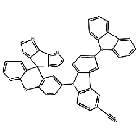 N#Cc1ccc2c(c1)c1cc(-n3c4ccccc4c4ccccc43)ccc1n2-c1ccc2c(c1)C1(c3ccccc3S2)c2cccnc2-c2ncccc21